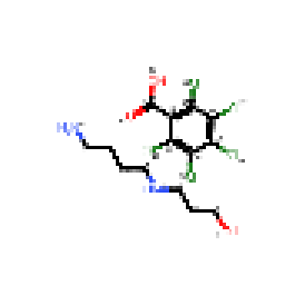 NCCCCNCCCO.O=C(O)c1c(Cl)c(Cl)c(Cl)c(Cl)c1Cl